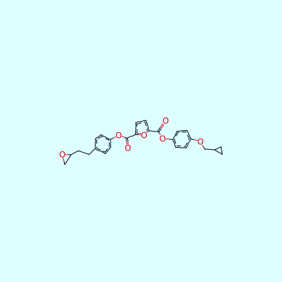 O=C(Oc1ccc(CCC2CO2)cc1)c1ccc(C(=O)Oc2ccc(OCC3CC3)cc2)o1